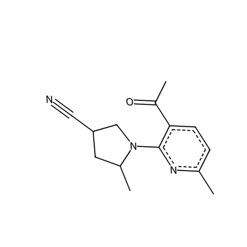 CC(=O)c1ccc(C)nc1N1CC(C#N)CC1C